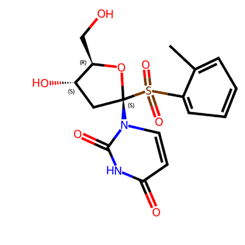 Cc1ccccc1S(=O)(=O)[C@]1(n2ccc(=O)[nH]c2=O)C[C@H](O)[C@@H](CO)O1